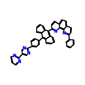 c1ccc(-c2ccc3ccc4ccc(-c5c6ccccc6c(-c6ccc(-c7ncc(-c8ncccn8)cn7)cc6)c6ccccc56)nc4c3n2)cc1